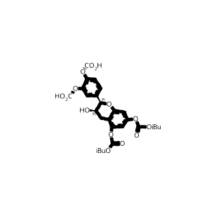 CC(C)COC(=O)Oc1cc(OC(=O)OCC(C)C)c2c(c1)O[C@H](c1ccc(OC(=O)O)c(OC(=O)O)c1)[C@H](O)C2